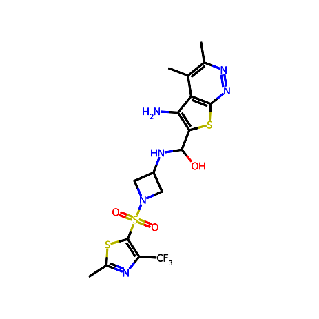 Cc1nc(C(F)(F)F)c(S(=O)(=O)N2CC(NC(O)c3sc4nnc(C)c(C)c4c3N)C2)s1